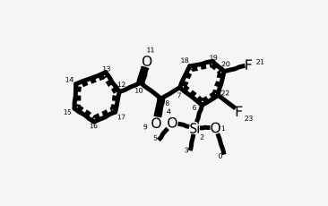 CO[Si](C)(OC)c1c(C(=O)C(=O)c2ccccc2)ccc(F)c1F